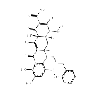 CNc1cc(N)c(O)c2c1[C@H](CSCc1ccccc1)[C@H]1C[C@H]3[C@H](NC)C(O)=C(C(N)=O)C(=O)[C@@]3(O)C(O)=C1C2=O